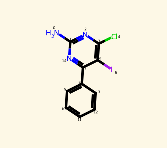 Nc1nc(Cl)c(I)c(-c2ccccc2)n1